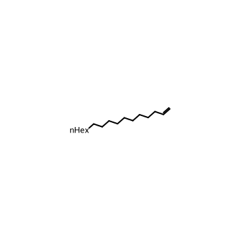 C=CCCCCCCCCCCCCCCC